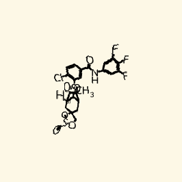 C[C@H]1C[C@H]2CC3(COS(=O)O3)CC1C2S(=O)(=O)c1cc(C(=O)Nc2cc(F)c(F)c(F)c2)ccc1Cl